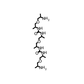 CC(N)COCC(C)NC(=O)NC(C)COCC(C)NC(=O)NC(C)COCC(C)N